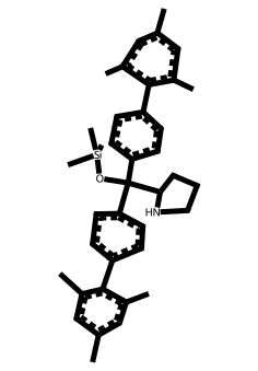 Cc1cc(C)c(-c2ccc(C(O[Si](C)(C)C)(c3ccc(-c4c(C)cc(C)cc4C)cc3)C3CCCN3)cc2)c(C)c1